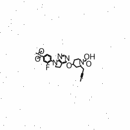 CC#CCC1CC(Oc2ncnc3c2CCN3c2ccc(S(C)(=O)=O)cc2F)CCN1C(=O)O